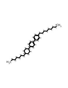 CCCCCCCCCc1ccc(-c2ccc(C3CCC(CCCCCCC)CC3)cc2)cc1